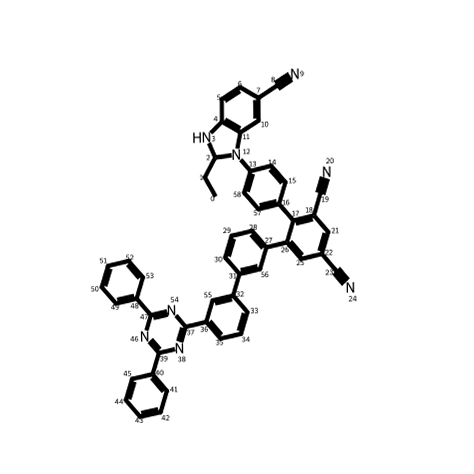 CCC1Nc2ccc(C#N)cc2N1c1ccc(-c2c(C#N)cc(C#N)cc2-c2cccc(-c3cccc(-c4nc(-c5ccccc5)nc(-c5ccccc5)n4)c3)c2)cc1